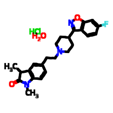 CC1C(=O)N(C)c2ccc(CCN3CCC(c4noc5cc(F)ccc45)CC3)cc21.Cl.O